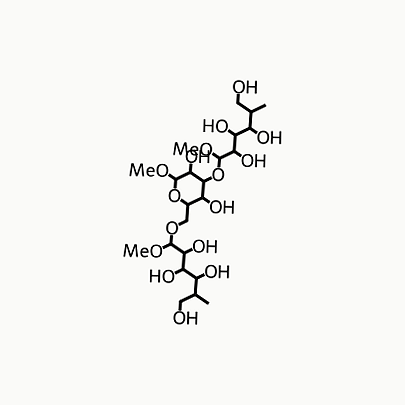 COC(OCC1OC(OC)C(O)C(OC(OC)C(O)C(O)C(O)C(C)CO)C1O)C(O)C(O)C(O)C(C)CO